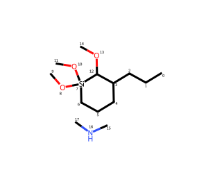 CCCC1CCC[Si](OC)(OC)C1OC.CNC